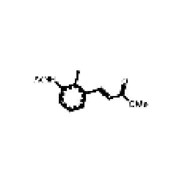 COC(=O)C=Cc1cccc(NC(C)=O)c1C